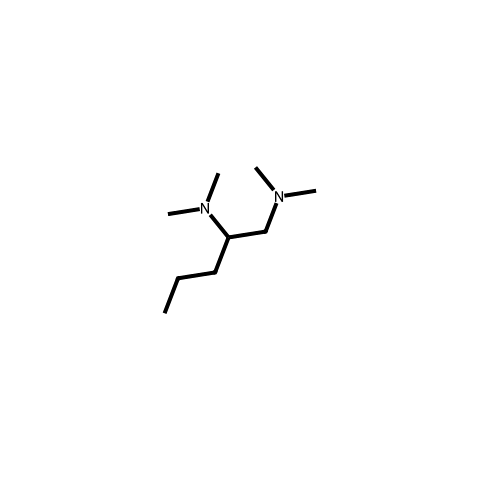 CCCC(CN(C)C)N(C)C